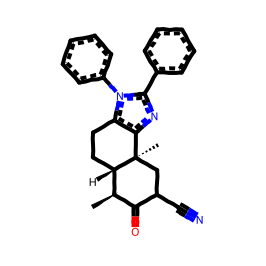 C[C@@H]1C(=O)C(C#N)C[C@]2(C)c3nc(-c4ccccc4)n(-c4ccccc4)c3CC[C@@H]12